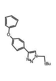 CC(C)(C)Cn1cc(-c2ccc(Oc3ccccc3)cc2)nn1